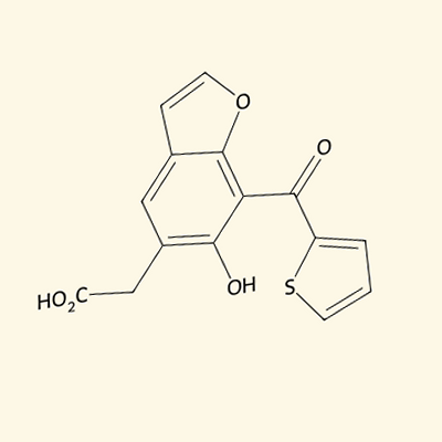 O=C(O)Cc1cc2ccoc2c(C(=O)c2cccs2)c1O